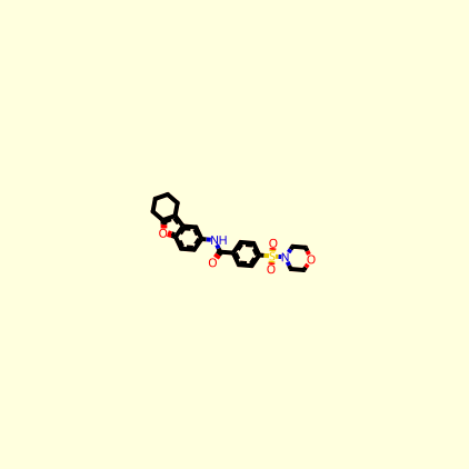 O=C(Nc1ccc2oc3c(c2c1)CCCC3)c1ccc(S(=O)(=O)N2CCOCC2)cc1